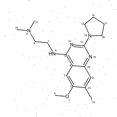 COc1cc2c(NCCN(C)C)nc(N3CCCC3)nc2cc1I